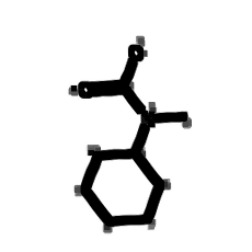 CN(C([O])=O)C1CCCCC1